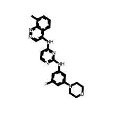 Cc1cccc2c(Nc3ccnc(Nc4cc(F)cc(N5CCOCC5)c4)n3)cnnc12